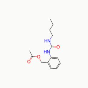 CCCCNC(=O)Nc1ccccc1COC(C)=O